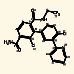 NC(=O)c1ccc(C(=O)NCC(F)(F)F)c(-c2ccc(Cl)c(-c3ccccn3)c2)c1Cl